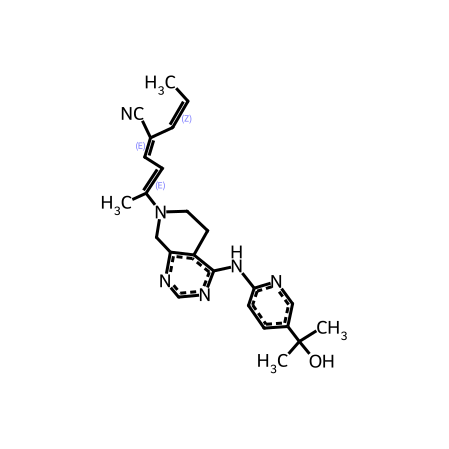 C\C=C/C(C#N)=C\C=C(/C)N1CCc2c(ncnc2Nc2ccc(C(C)(C)O)cn2)C1